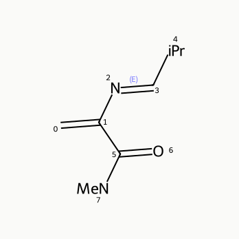 C=C(/N=C/C(C)C)C(=O)NC